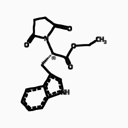 CCOC(=O)[C@H](Cc1c[nH]c2ccccc12)N1C(=O)CCC1=O